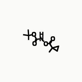 CC(C)(C)OC(=O)NOC(=O)C1(C)CC1